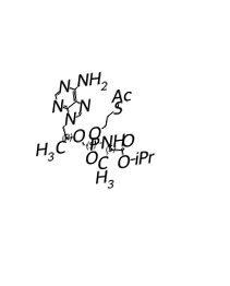 CC(=O)SCCO[P@@](=O)(CO[C@H](C)Cn1cnc2c(N)ncnc21)N[C@@H](C)C(=O)OC(C)C